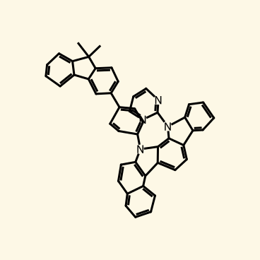 CC1(C)c2ccccc2-c2cc(-c3ccc(-n4c5ccc6ccccc6c5c5ccc6c7ccccc7n(-c7ncccn7)c6c54)cc3)ccc21